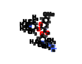 COc1ccc(/C=C(\C(=O)OC2CC(C)(C)N(C)C(C)(C)C2)C(=O)OC2CC(C)(C)N(C)C(C)(CN=[N+]=[N-])C2)cc1